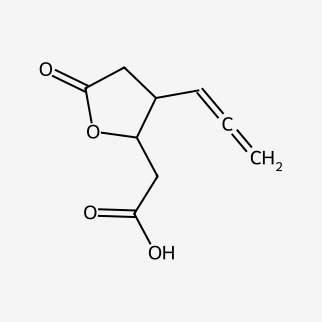 C=C=CC1CC(=O)OC1CC(=O)O